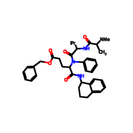 CNC(C)C(=O)NC(C(=O)N(c1ccccc1)C(CCC(=O)OCc1ccccc1)C(=O)NC1CCCc2ccccc21)C(C)C